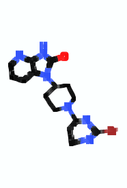 O=c1[nH]c2ncccc2n1C1CCN(c2ccnc(Br)n2)CC1